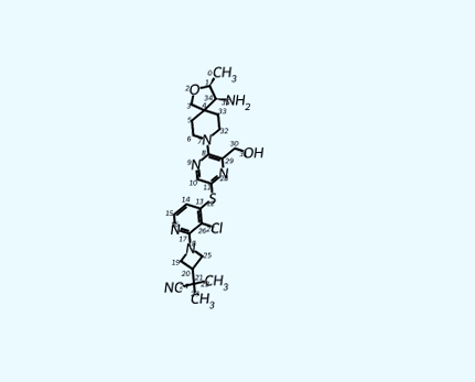 C[C@@H]1OCC2(CCN(c3ncc(Sc4ccnc(N5CC(C(C)(C)C#N)C5)c4Cl)nc3CO)CC2)[C@@H]1N